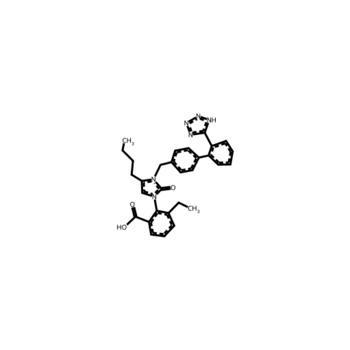 CCCCc1cn(-c2c(CC)cccc2C(=O)O)c(=O)n1Cc1ccc(-c2ccccc2-c2nnn[nH]2)cc1